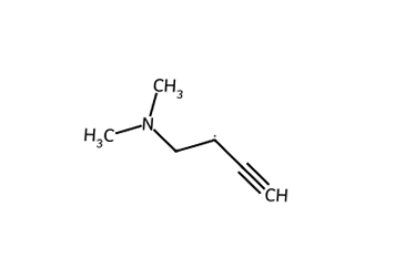 C#C[CH]CN(C)C